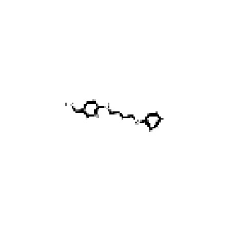 OCc1ccc(OCCCCOc2ccccc2)cc1